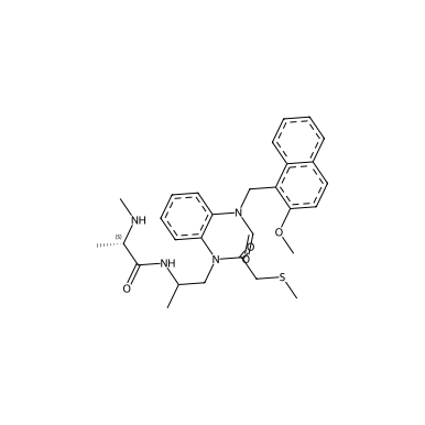 CN[C@@H](C)C(=O)NC(C)CN(C(=O)CSC)c1ccccc1N(C=O)Cc1c(OC)ccc2ccccc12